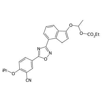 CCOC(=O)OC(C)OC1=CCc2c1cccc2-c1noc(-c2ccc(OC(C)C)c(C#N)c2)n1